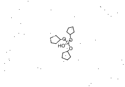 O[Si](OC1CCCC1)(OC1CCCC1)OC1CCCC1